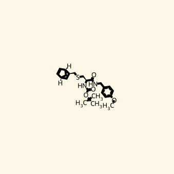 COc1ccc(CNC(=O)[C@H](CSC[C@H]2C[C@H]3C=C[C@@H]2C3)NC(=O)OC(C)(C)C)cc1